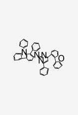 c1ccc(-c2cc(-c3cccc4oc5ccccc5c34)nc(-n3c4ccccc4c4c3ccc3c5ccccc5n(-c5ccccc5)c34)n2)cc1